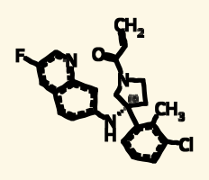 C=CC(=O)N1CC[C@@](Nc2ccc3cc(F)cnc3c2)(c2cccc(Cl)c2C)C1